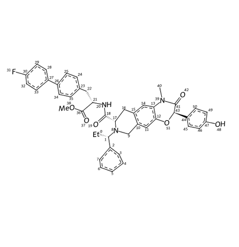 CC[C@@H](c1ccccc1)N1Cc2cc3c(cc2C[C@H]1C(=O)N[C@@H](Cc1ccc(-c2ccc(F)cc2)cc1)C(=O)OC)N(C)C(=O)[C@@H](c1ccc(O)cc1)O3